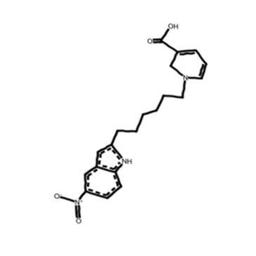 O=C(O)C1=CC=CN(CCCCCCc2cc3cc([N+](=O)[O-])ccc3[nH]2)C1